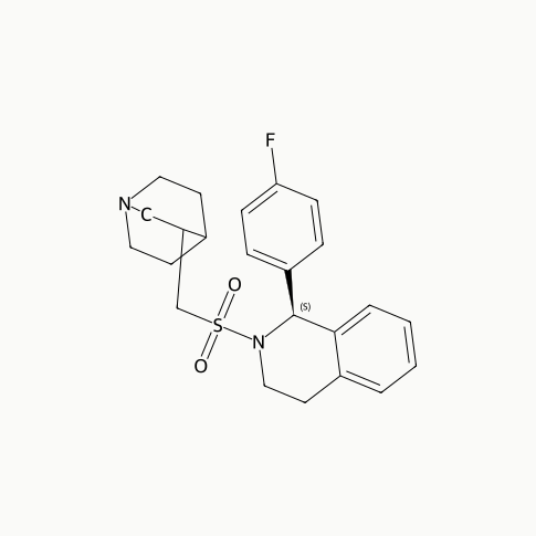 O=S(=O)(CC1CN2CCC1CC2)N1CCc2ccccc2[C@@H]1c1ccc(F)cc1